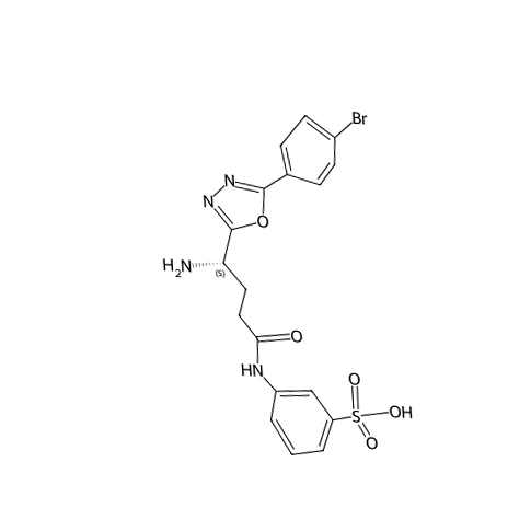 N[C@@H](CCC(=O)Nc1cccc(S(=O)(=O)O)c1)c1nnc(-c2ccc(Br)cc2)o1